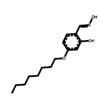 CCCCCCCCOc1ccc(C=NO)c(O)c1